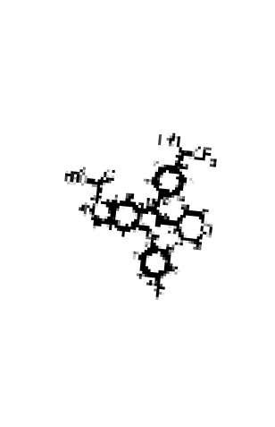 CC(C)(C)C(=O)n1ncc2cc3c(cc21)c(-c1ccc(C(O)C(F)(F)F)cc1)c(C1CCOCC1)n3-c1ccc(F)cc1